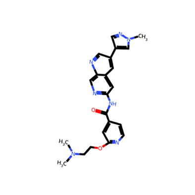 CN(C)CCOc1cc(C(=O)Nc2cc3cc(-c4cnn(C)c4)cnc3cn2)ccn1